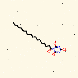 CCCCCCCCCCCCCCCCCC(=O)n1c(OC)nc(OC)nc1=O